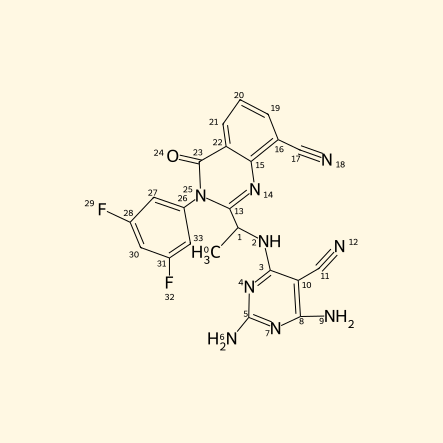 CC(Nc1nc(N)nc(N)c1C#N)c1nc2c(C#N)cccc2c(=O)n1-c1cc(F)cc(F)c1